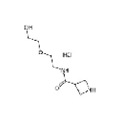 Cl.O=C(NCCOCCO)C1CNC1